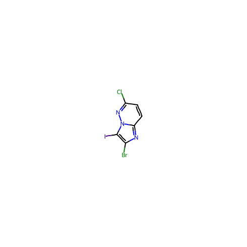 Clc1ccc2nc(Br)c(I)n2n1